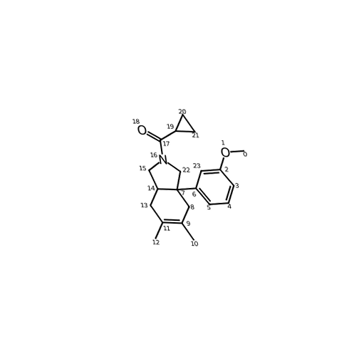 COc1cccc(C23CC(C)=C(C)CC2CN(C(=O)C2CC2)C3)c1